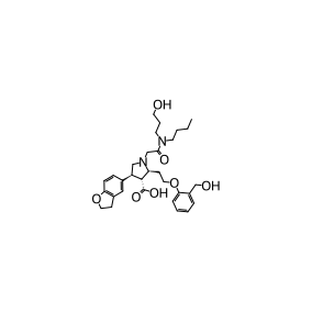 CCCCN(CCCO)C(=O)CN1C[C@H](c2ccc3c(c2)CCO3)[C@@H](C(=O)O)[C@@H]1CCOc1ccccc1CO